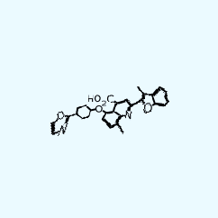 Cc1c(-c2cc(C(=O)O)c3c(OC4CCC(c5ncco5)CC4)ccc(C)c3n2)oc2ccccc12